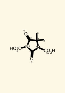 CC1(C)C(=O)N(C(=O)O)C(=O)N1C(=O)O